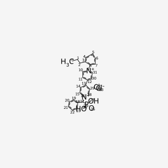 CCCc1ccccc1-[n+]1ccc(-c2cc[n+](C(c3ccccc3)P(=O)(O)O)cc2)cc1.[Cl-].[Cl-]